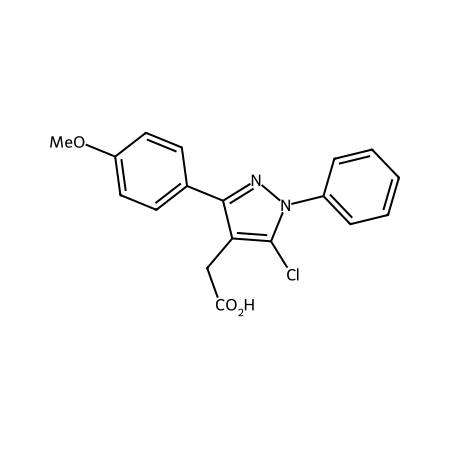 COc1ccc(-c2nn(-c3ccccc3)c(Cl)c2CC(=O)O)cc1